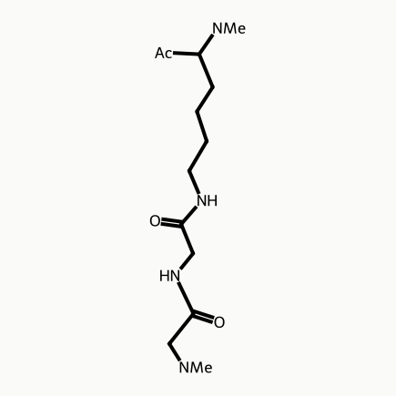 CNCC(=O)NCC(=O)NCCCCC(NC)C(C)=O